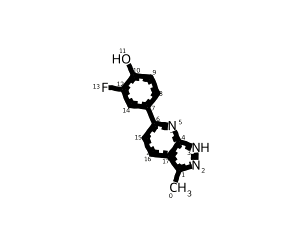 Cc1n[nH]c2nc(-c3ccc(O)c(F)c3)c[c]c12